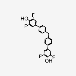 Oc1c(F)cc(-c2ccc(Cc3ccc(-c4cc(F)c(O)c(F)c4)cc3)cc2)cc1F